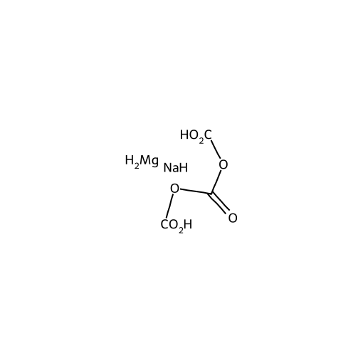 O=C(O)OC(=O)OC(=O)O.[MgH2].[NaH]